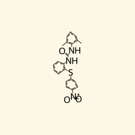 Cc1cccc(C)c1NC(=O)Nc1ccccc1Sc1ccc([N+](=O)[O-])cc1